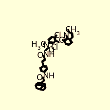 Cc1ccc2cccc(OCc3c(Cl)ccc(N(C)C(=O)CNC(=O)C=Cc4ccc(NC(=O)CC56CC7CC(CC(C7)C5)C6)cc4)c3Cl)c2n1